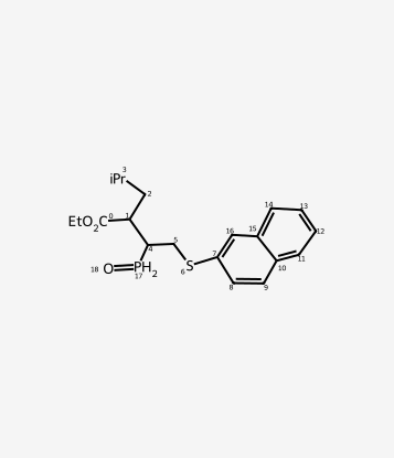 CCOC(=O)C(CC(C)C)C(CSc1ccc2ccccc2c1)[PH2]=O